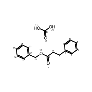 O=C(CCc1ccccc1)OCc1ccccc1.O=C(O)O